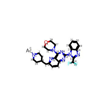 CC(=O)N1CCC(Cc2ccc3nc(-n4c(C(F)F)nc5ccccc54)nc(N4CCOCC4)c3n2)CC1